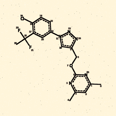 Cc1cc(C)nc(OCc2cn(-c3ccc(Cl)c(C(C)(F)F)c3)nn2)n1